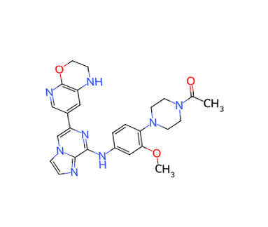 COc1cc(Nc2nc(-c3cnc4c(c3)NCCO4)cn3ccnc23)ccc1N1CCN(C(C)=O)CC1